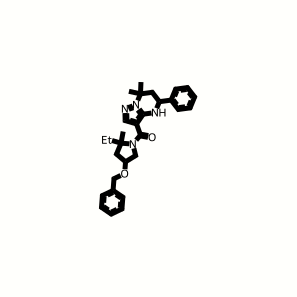 CCC1(C)CC(OCc2ccccc2)CN1C(=O)c1cnn2c1NC(c1ccccc1)CC2(C)C